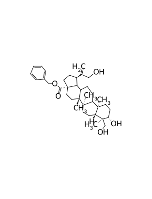 C=C(CO)[C@@H]1CC[C@]2(C(=O)OCc3ccccc3)CC[C@]3(C)C(CCC4[C@@]5(C)CC[C@H](O)[C@@](C)(CO)[C@@H]5CC[C@]43C)C12